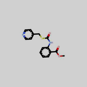 COC(=O)c1ccccc1NC(=O)SCc1ccncc1